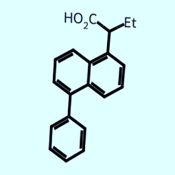 CCC(C(=O)O)c1cccc2c(-c3ccccc3)cccc12